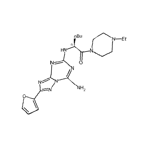 CCCC[C@H](Nc1nc(N)n2nc(-c3ccco3)nc2n1)C(=O)N1CCN(CC)CC1